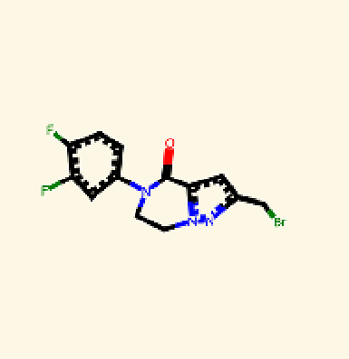 O=C1c2cc(CBr)nn2CCN1c1ccc(F)c(F)c1